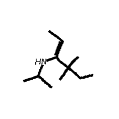 C/C=C(\NC(C)C)C(C)(C)CC